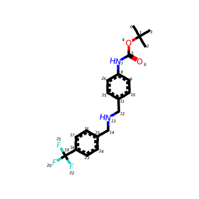 CC(C)(C)OC(=O)Nc1ccc(CNCc2ccc(C(F)(F)F)cc2)cc1